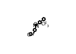 FC(F)(F)c1cc(-c2nc(-c3ccc(CN4CCOCC4)cc3)no2)ccc1-c1ccccc1